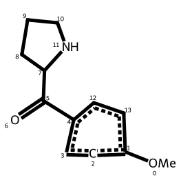 COc1ccc(C(=O)C2CCCN2)cc1